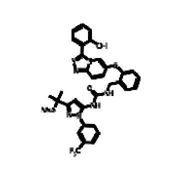 CSC(C)(C)c1cc(NC(=O)NCc2ccccc2Sc2ccc3nnc(-c4ccccc4O)n3c2)n(-c2cccc(C(F)(F)F)c2)n1